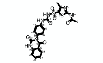 CC(=O)Nc1nc(C)c(S(=O)(=O)NC(=O)Nc2ccc(-n3c(=O)[nH]c4ccccc4c3=O)cc2)s1